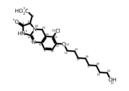 O=C(O)CC1C(=O)NC2=Nc3ccc(OCCCCCCCCO)c(Cl)c3CN21